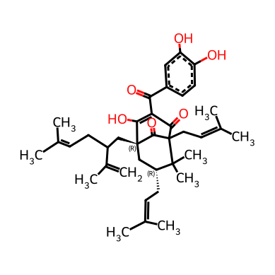 C=C(C)C(CC=C(C)C)C[C@@]12C[C@@H](CC=C(C)C)C(C)(C)C(CC=C(C)C)(C(=O)C(C(=O)c3ccc(O)c(O)c3)=C1O)C2=O